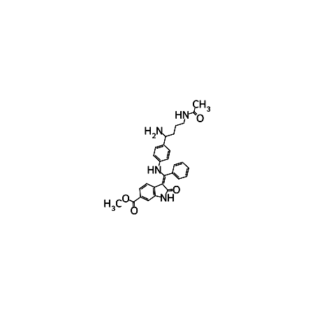 COC(=O)c1ccc2c(c1)NC(=O)C2=C(Nc1ccc(C(N)CCCNC(C)=O)cc1)c1ccccc1